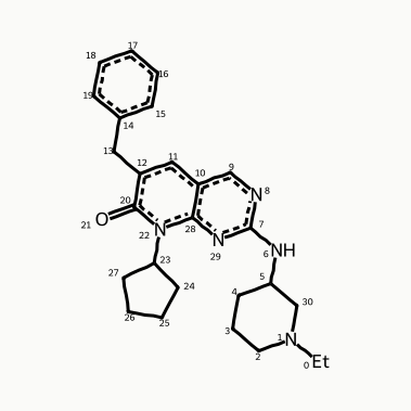 CCN1CCCC(Nc2ncc3cc(Cc4ccccc4)c(=O)n(C4CCCC4)c3n2)C1